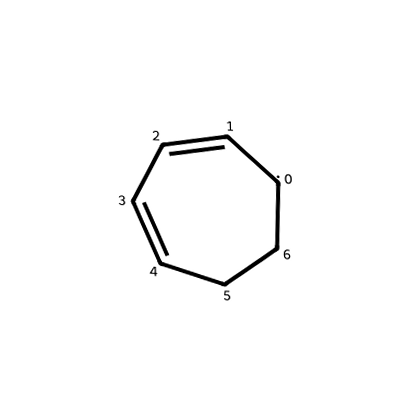 [CH]1C=CC=CCC1